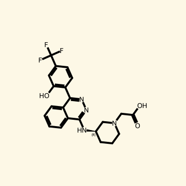 O=C(O)CN1CCC[C@@H](Nc2nnc(-c3ccc(C(F)(F)F)cc3O)c3ccccc23)C1